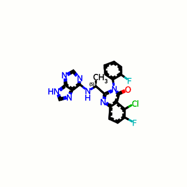 C[C@H](Nc1ncnc2[nH]cnc12)c1nc2ccc(F)c(Cl)c2c(=O)n1-c1ccccc1F